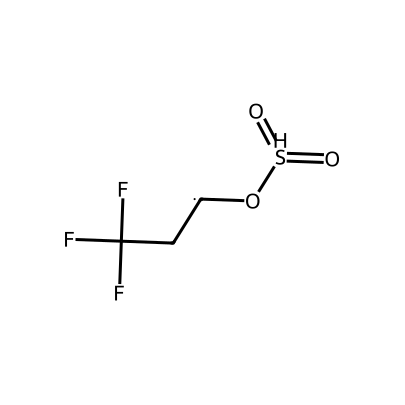 O=[SH](=O)O[CH]CC(F)(F)F